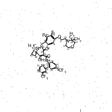 CN1N(Cc2ccc(OCCN3CCOCC3(C)C)c(F)c2F)C(=O)C(C(=O)Nc2ccc(C(F)(F)F)cc2-c2cc(C(F)(F)F)ncn2)=C(O)C12CCC2